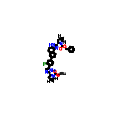 CC(C)(C)OC(=O)N1[C@@H]2C[C@@H]2C[C@H]1c1ncc(-c2ccc(-c3ccc4c(c3)CCc3[nH]c([C@@H]5C[C@H]6C[C@H]6N5C(=O)OCc5ccccc5)nc3-4)cc2F)[nH]1